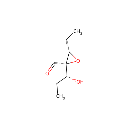 CC[C@@H](O)[C@]1(C=O)O[C@H]1CC